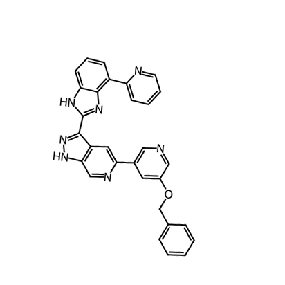 c1ccc(COc2cncc(-c3cc4c(-c5nc6c(-c7ccccn7)cccc6[nH]5)n[nH]c4cn3)c2)cc1